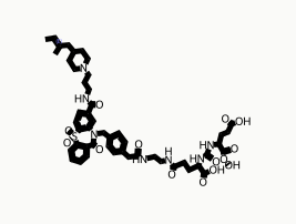 C/C=C(\C)CC1CCN(CCCNC(=O)c2ccc3c(c2)N(Cc2ccc(CC(=O)NCCNC(=O)CCC(NC(=O)NC(CCC(=O)O)C(=O)OO)C(=O)O)cc2)C(=O)c2ccccc2S3(=O)=O)CC1